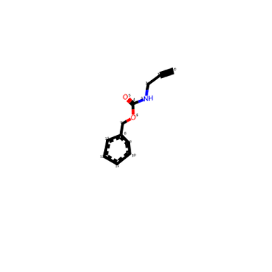 C#CCNC(=O)OCc1ccccc1